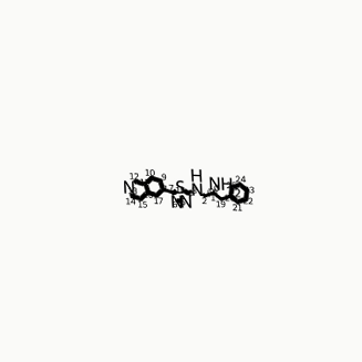 N[C@@H](CNc1nnc(-c2ccc3cnccc3c2)s1)Cc1ccccc1